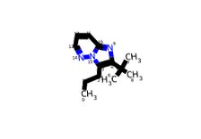 CCCc1c(C(C)(C)C)nc2cccnn12